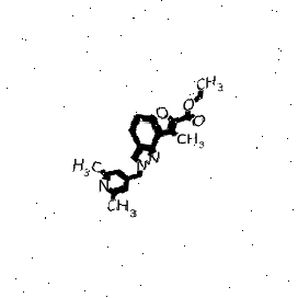 CCOC(=O)c1oc2c(c1C)-c1nn(Cc3cc(C)nc(C)c3)cc1CC2